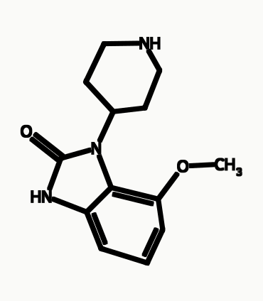 COc1cccc2[nH]c(=O)n(C3CCNCC3)c12